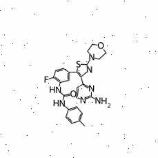 Cc1ccc(NC(=O)Nc2cc(-c3sc(N4CCOCC4)nc3-c3ccnc(N)n3)ccc2F)cc1